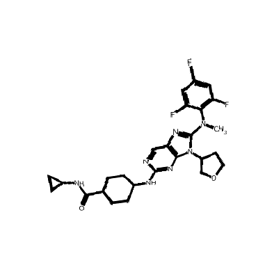 CN(c1c(F)cc(F)cc1F)c1nc2cnc(NC3CCC(C(=O)NC4CC4)CC3)nc2n1C1CCOC1